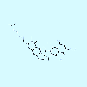 COC1=CC(=O)c2c(O)c3c(c(O)c2C1=O)C(=O)C1(CCc2cc4cc(C=NOCCN(C)C)[nH]c(=O)c4c(O)c21)C3=O